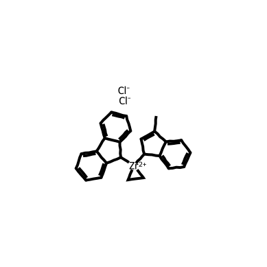 CC1=C[CH]([Zr+2]2([CH]3c4ccccc4-c4ccccc43)[CH2][CH2]2)c2ccccc21.[Cl-].[Cl-]